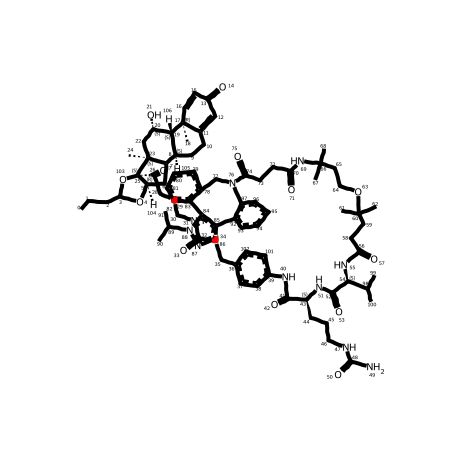 CCCC1O[C@@H]2CC3[C@@H]4CCC5=CC(=O)C=C[C@]5(C)[C@H]4[C@@H](O)C[C@]3(C)[C@]2(C(=O)COCNC(=O)OCc2ccc(NC(=O)[C@H](CCCNC(N)=O)NC(=O)[C@@H](NC(=O)CCC(C)(C)OCCC(C)(C)NC(=O)CCC(=O)N3Cc4ccccc4-c4c(nnn4C(C)C)-c4ccccc43)C(C)C)cc2)O1